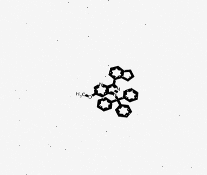 COc1cnc2c(-c3cccc4c3CCC4)nn(C(c3ccccc3)(c3ccccc3)c3ccccc3)c2c1